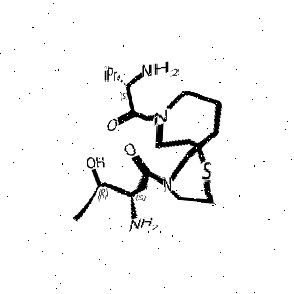 CC(C)[C@H](N)C(=O)N1CCCC2(C1)SCCN2C(=O)[C@@H](N)[C@@H](C)O